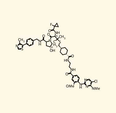 CNc1nc(Nc2ccc(C(=O)NCCNC(=O)[C@H]3CC[C@H](CSC(C)(C)[C@H](NC(=O)C4(F)CC4)C(=O)N4C[C@H](O)CC4C(=O)NCc4ccc(-c5scnc5C)cc4)CC3)cc2OC)ncc1Cl